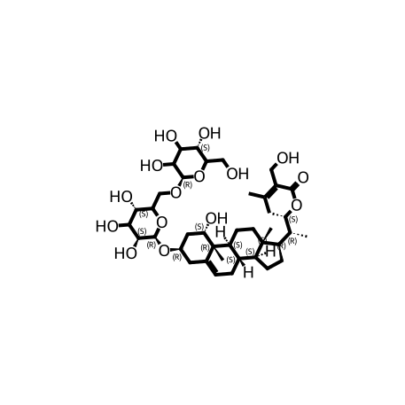 CC1=C(CO)C(=O)O[C@H]([C@H](C)[C@H]2CC[C@H]3[C@@H]4CC=C5C[C@@H](O[C@@H]6OC(CO[C@@H]7OC(CO)[C@@H](O)C(O)C7O)[C@@H](O)C(O)[C@@H]6O)C[C@H](O)[C@]5(C)[C@H]4CC[C@]23C)C1